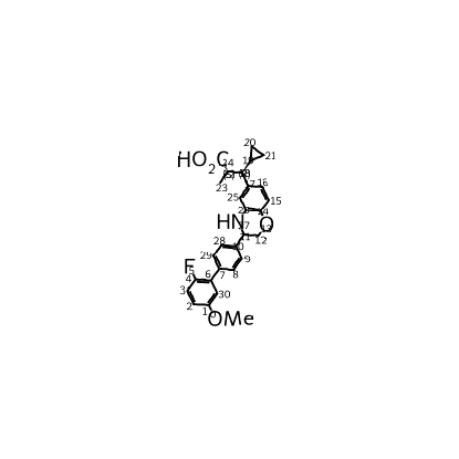 COc1ccc(F)c(-c2ccc(C3COc4ccc([C@H](C5CC5)[C@H](C)C(=O)O)cc4N3)cc2)c1